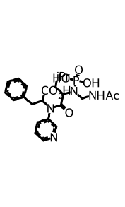 CC(=O)NCN(C(CC(C)C)C(=O)N(c1cccnc1)C(Cc1ccccc1)C(=O)O)P(=O)(O)O